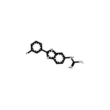 CC(=N)Nc1ccc2oc(-c3cccc(F)c3)nc2c1